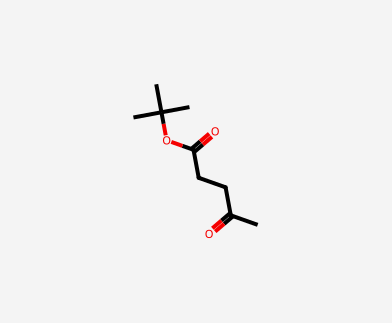 CC(=O)CCC(=O)OC(C)(C)C